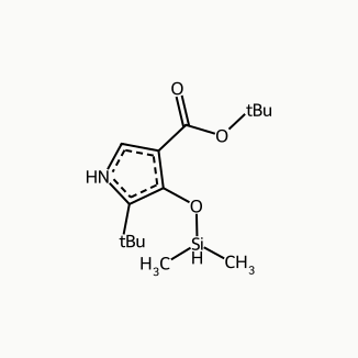 C[SiH](C)Oc1c(C(=O)OC(C)(C)C)c[nH]c1C(C)(C)C